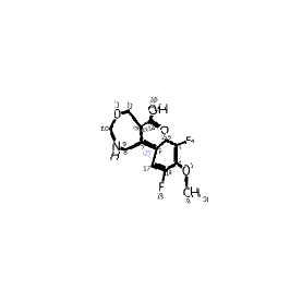 COC1=C(F)C/C(=C2/CNCOC[C@H]2C(=O)O)C=C1F